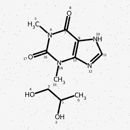 CC(O)CO.Cn1c(=O)c2[nH]cnc2n(C)c1=O